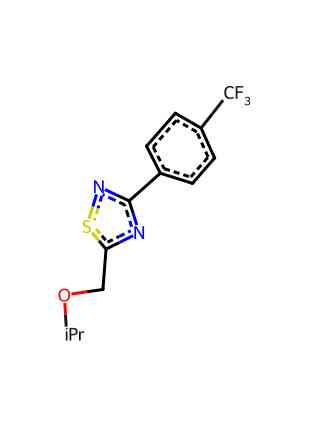 CC(C)OCc1nc(-c2ccc(C(F)(F)F)cc2)ns1